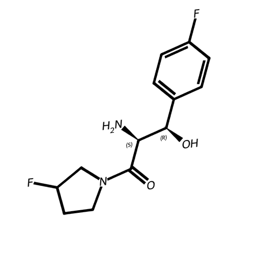 N[C@H](C(=O)N1CCC(F)C1)[C@H](O)c1ccc(F)cc1